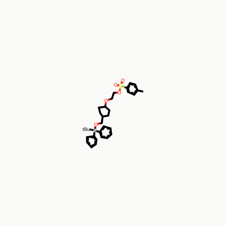 Cc1ccc(S(=O)(=O)OCCOC2CCC(CO[Si](c3ccccc3)(c3ccccc3)C(C)(C)C)CC2)cc1